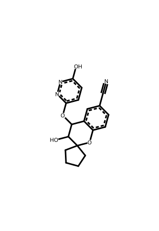 N#Cc1ccc2c(c1)C(Oc1ccc(O)nn1)C(O)C1(CCCC1)O2